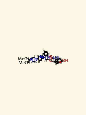 COCC(COC)N1CCN(c2ccc(N3CCN(OC(=O)NC4[C@@H]5CC6C[C@H]4CC(O)(C6)C5)c4ccccc43)nc2)CC1